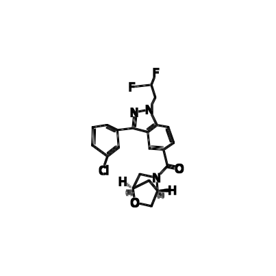 O=C(c1ccc2c(c1)c(-c1cccc(Cl)c1)nn2CC(F)F)N1C[C@H]2C[C@H]1CO2